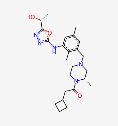 Cc1cc(CN2CCN(C(=O)CC3CCC3)[C@@H](C)C2)c(C)c(Nc2nnc([C@@H](C)O)o2)c1